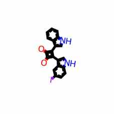 O=c1c(-c2c[nH]c3ccccc23)c(-c2c[nH]c3ccc(I)cc23)c1=O